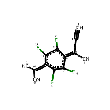 C#CC(C#N)=c1c(F)c(F)c(=C(C#N)C#N)c(F)c1F